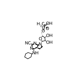 CP(=O)(O)OOC[C@H]1O[C@@H](n2ccc3c(NC4CCCCC4)nc(C#N)nc32)[C@H](O)[C@@H]1O